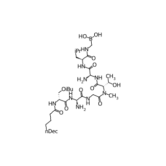 CCCCCCCCCCCCCC(=O)N[C@H](COCC(C)C)C(=O)N[C@H](N)C(=O)NCC(=O)N(C)[C@H](C(=O)N[C@@H](N)C(=O)N[C@@H](CC(C)C)C(=O)NCB(O)O)C(C)O